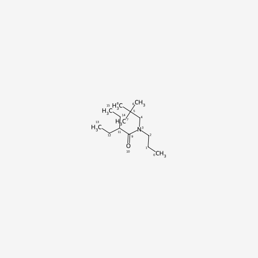 CCCN(CC(C)(C)C)C(=O)C(CC)CC